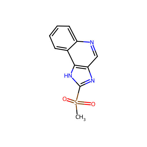 CS(=O)(=O)c1nc2cnc3ccccc3c2[nH]1